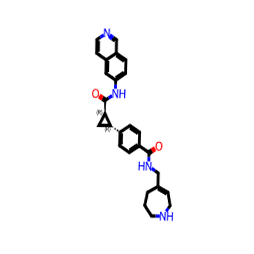 O=C(NCC1=CCNCCC1)c1ccc([C@@H]2C[C@H]2C(=O)Nc2ccc3cnccc3c2)cc1